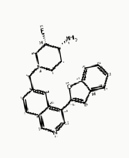 N[C@@H]1CCN(Cc2ccc3cncc(-c4cc5ccccc5o4)c3c2)C[C@@H]1F